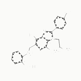 COCCn1c(-c2ccc(C(C)C)cc2)nc2c(Br)c(CNc3ccccc3S(=O)(=O)O)cc(OC)c21